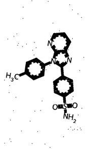 Cc1ccc(-n2c(-c3ccc(S(N)(=O)=O)cc3)nc3cccnc32)cc1